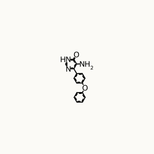 Nc1c(-c2ccc(Oc3ccccc3)cc2)nc[nH]c1=O